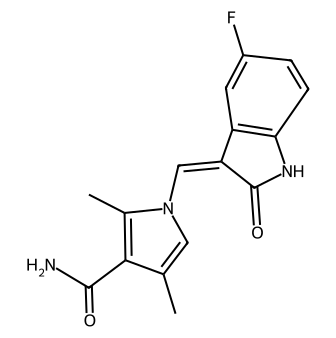 Cc1cn(C=C2C(=O)Nc3ccc(F)cc32)c(C)c1C(N)=O